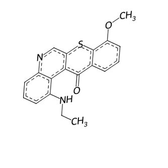 CCNc1cccc2ncc3sc4c(OC)cccc4c(=O)c3c12